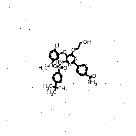 COc1ccc(Cl)c(Oc2c(NS(=O)(=O)c3ccc(C(C)(C)C)cc3)nc(-c3ccc(C(N)=O)cc3)nc2OCCO)c1